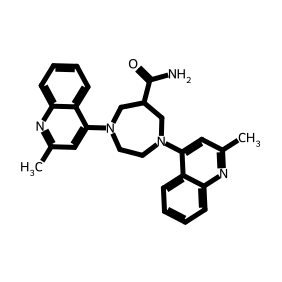 Cc1cc(N2CCN(c3cc(C)nc4ccccc34)CC(C(N)=O)C2)c2ccccc2n1